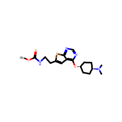 CN(C)[C@H]1CC[C@H](Oc2ncnc3sc(CCNC(=O)OC(C)(C)C)cc23)CC1